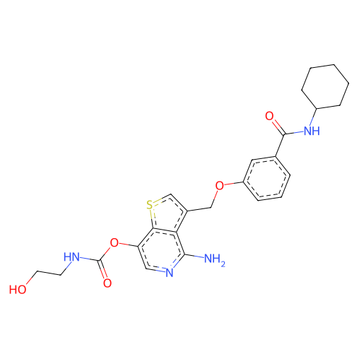 Nc1ncc(OC(=O)NCCO)c2scc(COc3cccc(C(=O)NC4CCCCC4)c3)c12